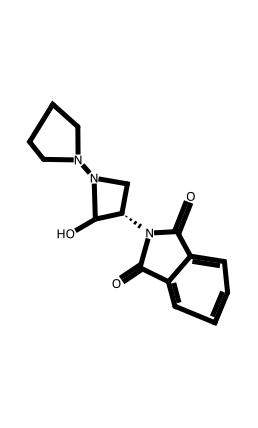 O=C1c2ccccc2C(=O)N1[C@H]1CN(N2CCCC2)C1O